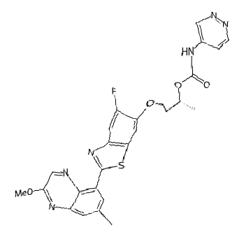 COc1cnc2c(-c3nc4cc(F)c(OC[C@@H](C)OC(=O)Nc5ccnnc5)cc4s3)cc(C)cc2n1